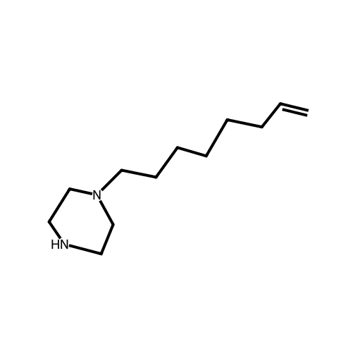 C=CCCCCCCN1CCNCC1